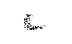 [Bi+3].[Bi+3].[Ge+4].[Ge+4].[Se-2].[Se-2].[Se-2].[Se-2].[Se-2].[Se-2].[Se-2]